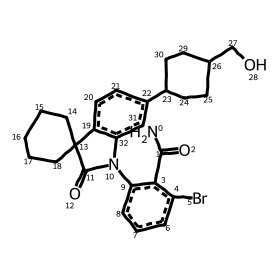 NC(=O)c1c(Br)cccc1N1C(=O)C2(CCCCC2)c2ccc(C3CCC(CO)CC3)cc21